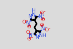 O=[N+]([O-])c1n[nH]c([N+](=O)[O-])c1CCc1c([N+](=O)[O-])n[nH]c1[N+](=O)[O-]